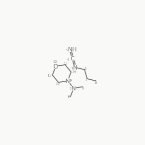 CCCN=C=N.CN(C)N1CCOCC1